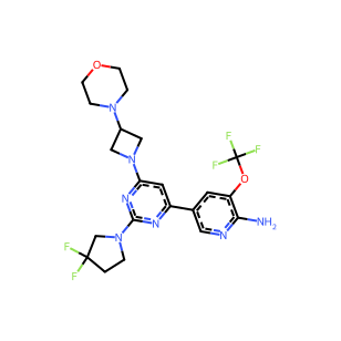 Nc1ncc(-c2cc(N3CC(N4CCOCC4)C3)nc(N3CCC(F)(F)C3)n2)cc1OC(F)(F)F